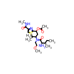 CC[C@H](C)[C@H](N)C(=O)N(CCOC)C(CC(OC(C)=O)c1nc(C(=O)NC)cs1)C(C)C